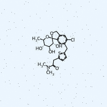 C[C@H]1O[C@]2(OCc3cc(Cl)c(Cc4ccc(CC(=O)N(C)C)s4)cc32)[C@H](O)[C@@H](O)[C@@H]1O